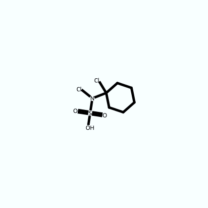 O=S(=O)(O)N(Cl)C1(Cl)CCCCC1